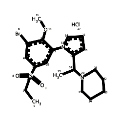 CCS(=O)(=O)c1cc(Br)c(OC)c(-n2cccc2C(C)N2CCCCC2)c1.Cl